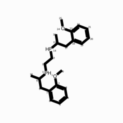 COc1ccccc1CC(C)PCCPC(C)Cc1ccccc1OC